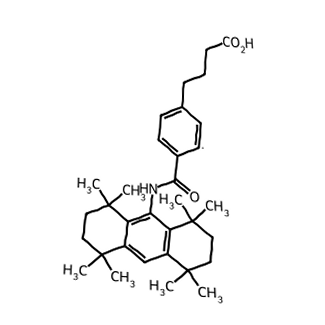 CC1(C)CCC(C)(C)c2c1cc1c(c2NC(=O)c2[c]cc(CCCC(=O)O)cc2)C(C)(C)CCC1(C)C